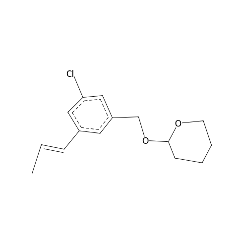 C/C=C/c1cc(Cl)cc(COC2CCCCO2)c1